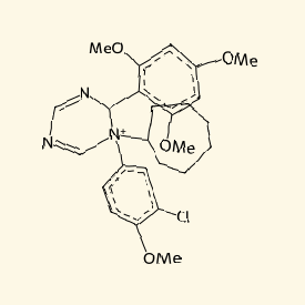 COc1cc(OC)c(C2N=CN=C[N+]2(c2ccc(OC)c(Cl)c2)C2CCCCCC2)c(OC)c1